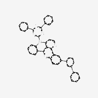 c1ccc(-c2cccc(-c3ccc4nc5c6c(ccnc6c4c3)N(c3nc(-c4ccccc4)nc(-c4ccccc4)n3)c3ccccc3-5)c2)cc1